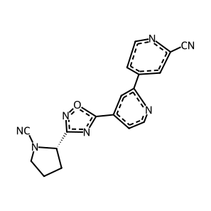 N#Cc1cc(-c2cc(-c3nc([C@@H]4CCCN4C#N)no3)ccn2)ccn1